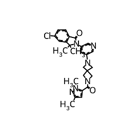 Cc1cc(C(=O)N2CC3(C2)CN(c2cncc(N4C(=O)c5ccc(Cl)cc5C4(C)C)c2)C3)n(C)n1